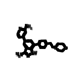 Nc1cc(-c2cc(-c3ccc(CCN4CCOCC4)cc3)c3[nH]nc(N)c3c2)ccn1